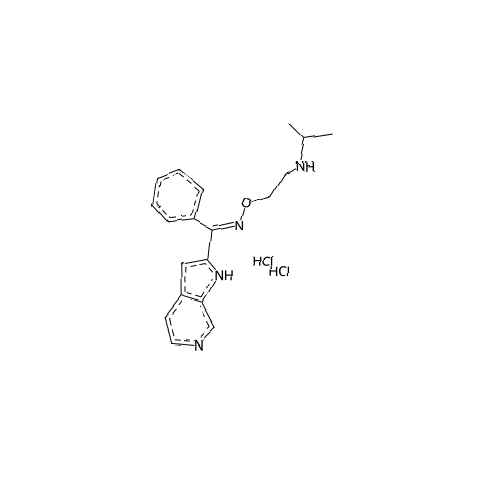 CC(C)NCCO/N=C(\c1ccccc1)c1cc2ccncc2[nH]1.Cl.Cl